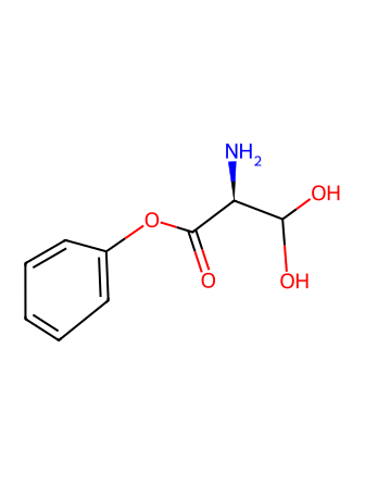 N[C@H](C(=O)Oc1ccccc1)C(O)O